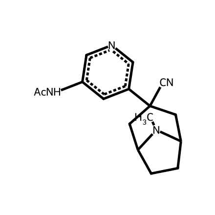 CC(=O)Nc1cncc(C2(C#N)CC3CCC(C2)N3C)c1